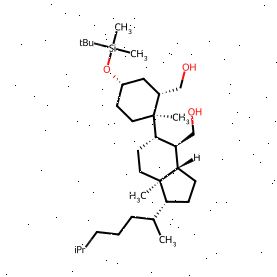 CC(C)CCCC(C)[C@H]1CC[C@H]2[C@H](CO)[C@@H]([C@@]3(C)CC[C@H](O[Si](C)(C)C(C)(C)C)C[C@@H]3CO)CC[C@]12C